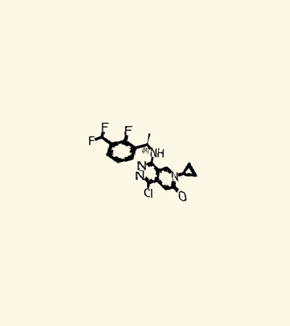 C[C@@H](Nc1nnc(Cl)c2cc(=O)n(C3CC3)cc12)c1cccc(C(F)F)c1F